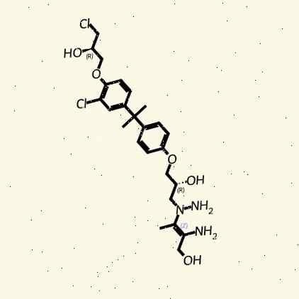 C/C(=C(/N)CO)N(N)C[C@@H](O)COc1ccc(C(C)(C)c2ccc(OC[C@@H](O)CCl)c(Cl)c2)cc1